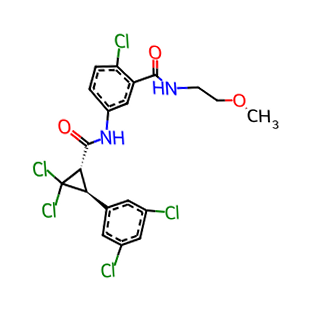 COCCNC(=O)c1cc(NC(=O)[C@@H]2[C@@H](c3cc(Cl)cc(Cl)c3)C2(Cl)Cl)ccc1Cl